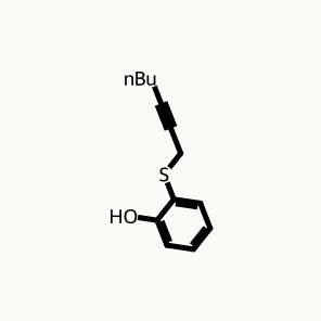 CCCCC#CCSc1ccccc1O